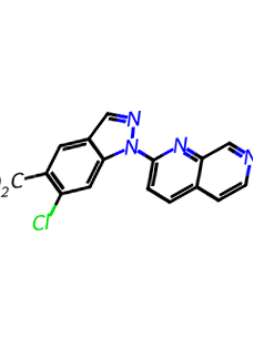 O=C(O)c1cc2cnn(-c3ccc4ccncc4n3)c2cc1Cl